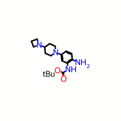 CC(C)(C)OC(=O)Nc1cc(N2CCC(N3CCC3)CC2)ccc1N